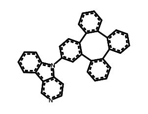 c1ccc2c(c1)-c1ccccc1-c1ccc(-n3c4ccccc4c4cnccc43)cc1-c1ccccc1-2